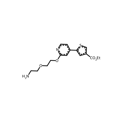 CCOC(=O)c1csc(-c2ccnc(OCCOCCN)c2)c1